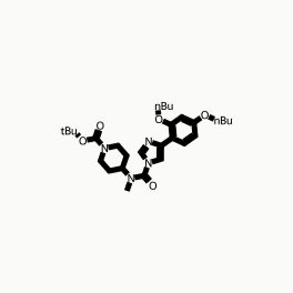 CCCCOc1ccc(-c2cn(C(=O)N(C)C3CCN(C(=O)OC(C)(C)C)CC3)cn2)c(OCCCC)c1